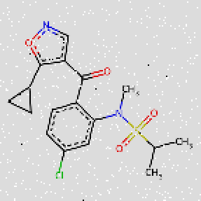 CC(C)S(=O)(=O)N(C)c1cc(Cl)ccc1C(=O)c1cnoc1C1CC1